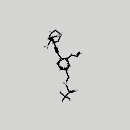 C=CCc1cc(COC(=O)C(C)(C)C)ccc1C#CC1(O)CN2CCC1CC2